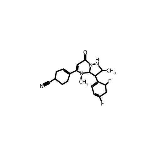 CC1NN2C(=O)C=C(C3=CCC(C#N)CC3)N(C)C2C1C1=CC=C(F)CC1F